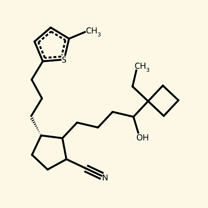 CCC1(C(O)CCCC2C(C#N)CC[C@@H]2CCCc2ccc(C)s2)CCC1